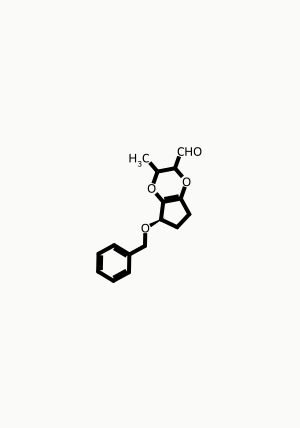 CC1OC2=C(CC[C@H]2OCc2ccccc2)OC1C=O